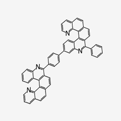 c1ccc(-c2nc3cc(-c4ccc(-c5nc6ccccc6c6c5ccc5ccc7cccnc7c56)cc4)ccc3c3c2ccc2ccc4cccnc4c23)cc1